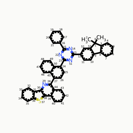 CC1(C)c2ccccc2-c2ccc(-c3nc(-c4ccccc4)nc(-c4ccc(-c5nc6c7ccccc7sc6c6ccccc56)c5ccccc45)n3)cc21